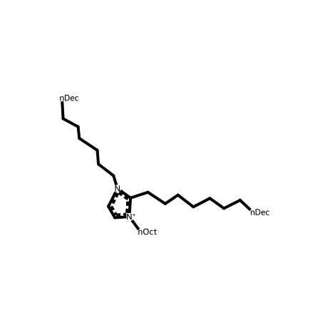 CCCCCCCCCCCCCCCCCc1n(CCCCCCCCCCCCCCCC)cc[n+]1CCCCCCCC